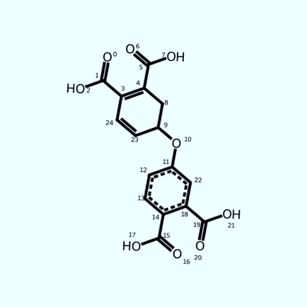 O=C(O)C1=C(C(=O)O)CC(Oc2ccc(C(=O)O)c(C(=O)O)c2)C=C1